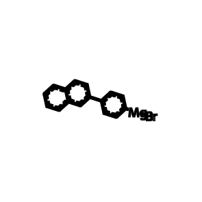 [Br][Mg][c]1ccc(-c2ccc3ccccc3c2)cc1